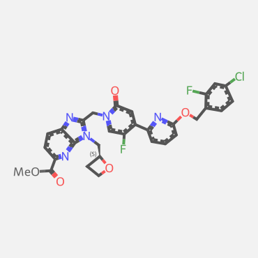 COC(=O)c1ccc2nc(Cn3cc(F)c(-c4cccc(OCc5ccc(Cl)cc5F)n4)cc3=O)n(C[C@@H]3CCO3)c2n1